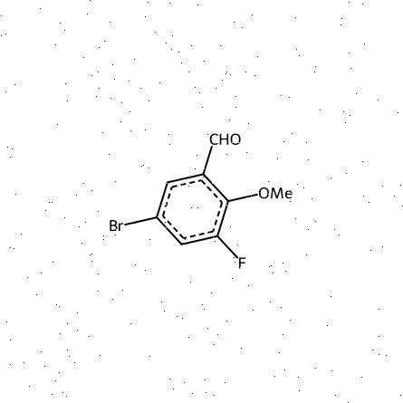 COc1c(F)cc(Br)cc1C=O